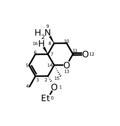 CCO[C@@H]1C(C)=CC[C@@H]2[C@@H](N)CC(=O)O[C@@]12C